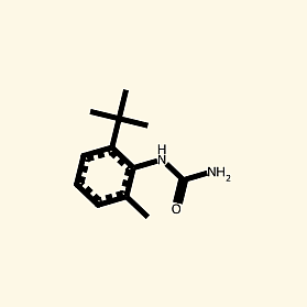 Cc1cccc(C(C)(C)C)c1NC(N)=O